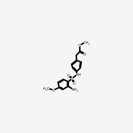 COC(=O)Cc1ccc(NS(=O)(=O)c2ccc(OC)cc2N)cc1